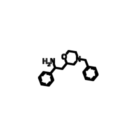 NC(CC1CN(Cc2ccccc2)CCO1)c1ccccc1